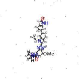 COc1cc(C(=O)N2C[C@H]3CC[C@@H]2[C@@H]3N)cc2nc(-c3cc4ccc(-c5ccc6c(c5)NC(=O)C6)cc4n3CC3CC3)n(C)c12